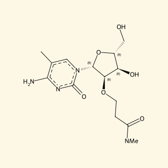 CNC(=O)CCO[C@@H]1[C@H](O)[C@@H](CO)O[C@H]1n1cc(C)c(N)nc1=O